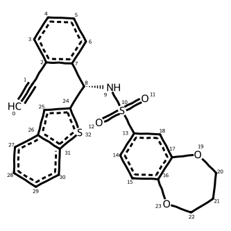 C#Cc1ccccc1[C@H](NS(=O)(=O)c1ccc2c(c1)OCCCO2)c1cc2ccccc2s1